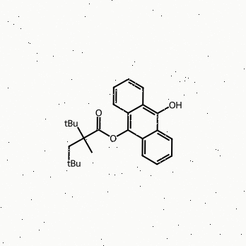 CC(C)(C)CC(C)(C(=O)Oc1c2ccccc2c(O)c2ccccc12)C(C)(C)C